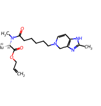 C=CCOC(=O)[C@H]([C@@H](C)CC)N(C)C(=O)CCCCCN1C=Cc2[nH]c(C)nc2C1